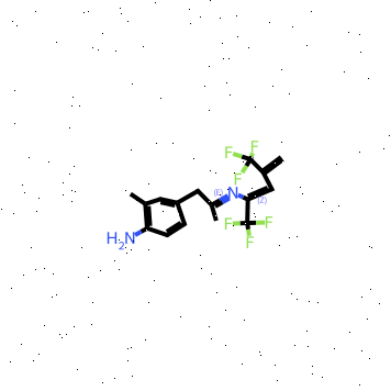 C=C(/C=C(\N=C(/C)Cc1ccc(N)c(C)c1)C(F)(F)F)C(F)(F)F